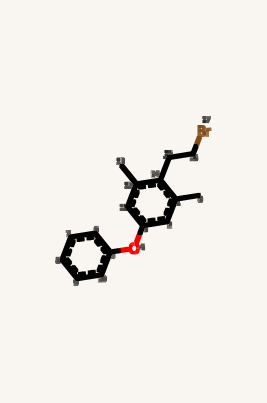 Cc1cc(Oc2ccccc2)cc(C)c1[CH]CBr